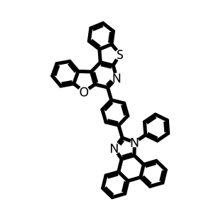 c1ccc(-n2c(-c3ccc(-c4nc5sc6ccccc6c5c5c4oc4ccccc45)cc3)nc3c4ccccc4c4ccccc4c32)cc1